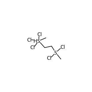 CS(Cl)(Cl)CC[SH](C)(Cl)(Cl)Cl